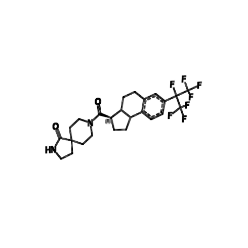 O=C([C@@H]1CCC2c3ccc(C(F)(C(F)(F)F)C(F)(F)F)cc3CCC21)N1CCC2(CCNC2=O)CC1